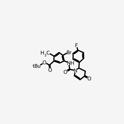 Cc1cc(Br)c(NC(=O)N2C=CC(=O)CC2c2ccc(F)cc2)cc1C(=O)OC(C)(C)C